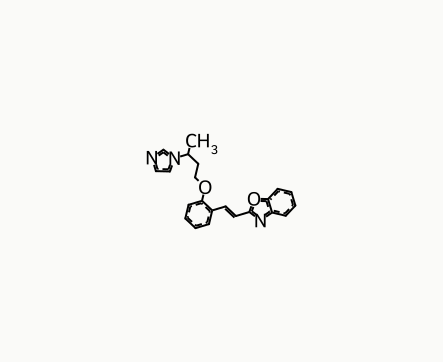 CC(CCOc1ccccc1/C=C/c1nc2ccccc2o1)n1ccnc1